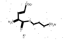 C=C(C=CC(=O)[O-])C(=O)OCCCS(=O)(=O)O.[K+]